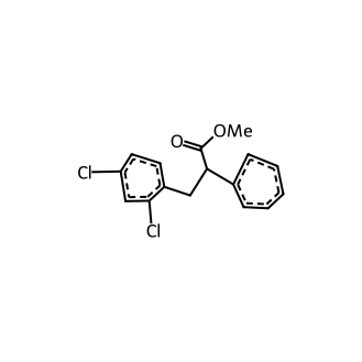 COC(=O)C(Cc1ccc(Cl)cc1Cl)c1ccccc1